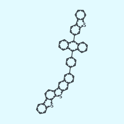 c1ccc2c(c1)sc1cc(-c3c4ccccc4c(-c4ccc(-c5ccc6cc7sc8c(ccc9c%10ccccc%10sc98)c7cc6c5)cc4)c4ccccc34)ccc12